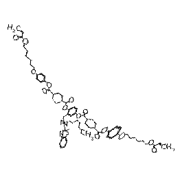 C=CC(=O)OCCCCCCOc1ccc(OC(=O)C2CCC(C(=O)Oc3ccc(OC(=O)C4CCC(C(=O)Oc5ccc(OCCCCCCOC(=O)C=C)cc5)CC4)c(/C=N\N(CCCCCC)c4nc5ccccc5s4)c3)CC2)cc1